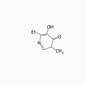 CCC1=C(O)C(=O)C(C)C=N1